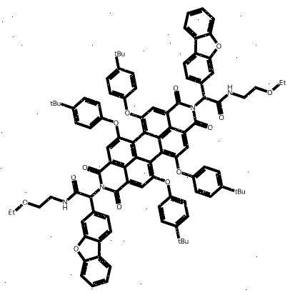 CCOCCNC(=O)C(c1ccc2c(c1)oc1ccccc12)N1C(=O)c2cc(Oc3ccc(C(C)(C)C)cc3)c3c4c(Oc5ccc(C(C)(C)C)cc5)cc5c6c(cc(Oc7ccc(C(C)(C)C)cc7)c(c7c(Oc8ccc(C(C)(C)C)cc8)cc(c2c37)C1=O)c64)C(=O)N(C(C(=O)NCCOCC)c1ccc2c(c1)oc1ccccc12)C5=O